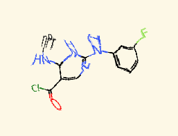 CCCNC1NC(Nc2cccc(F)c2)=NC=C1C(=O)Cl